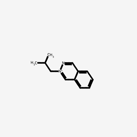 CC(C)C[n+]1cc2ccccc2cn1